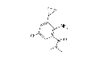 CN(C)C(=O)c1cc(Cl)cc(C2CC2)c1N